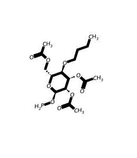 CCCCO[C@H]1[C@H](OC(C)=O)[C@H](OC(C)=O)[C@@H](OP)O[C@@H]1COC(C)=O